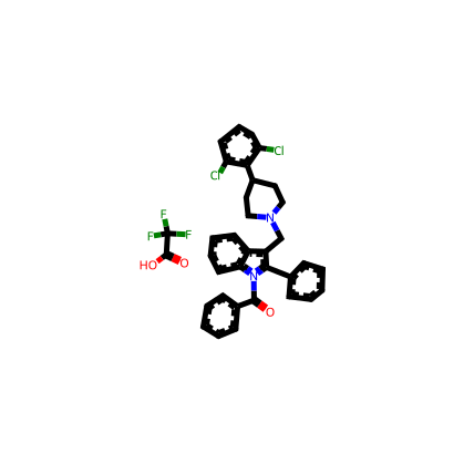 O=C(O)C(F)(F)F.O=C(c1ccccc1)n1c(-c2ccccc2)c(CN2CCC(c3c(Cl)cccc3Cl)CC2)c2ccccc21